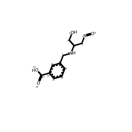 O=NCC(CO)NCc1cccc(C(=O)O)c1